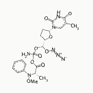 CON(c1ccccc1)[C@@H](C)C(=O)OP(N)(=O)OC(ON=[N+]=[N-])[C@@H]1CC[C@H](n2cc(C)c(=O)[nH]c2=O)O1